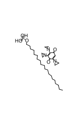 CCCCCCCCCCCCCCCCCCCCOP(O)O.O=C1C=C(N2CC2)C(=O)C(N2CC2)=C1N1CC1